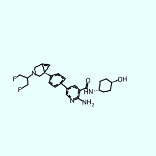 Nc1ncc(-c2ccc([C@]34C=C3CN(C(CF)CF)C4)cc2)cc1C(=O)N[C@H]1CC[C@H](O)CC1